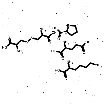 NC(CCC(=O)O)C(=O)O.NC(CSSCC(N)C(=O)O)C(=O)O.NCCCCC(N)C(=O)O.O=C(O)[C@@H]1CCCN1